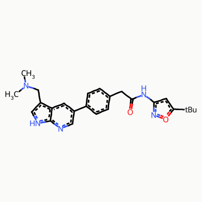 CN(C)Cc1c[nH]c2ncc(-c3ccc(CC(=O)Nc4cc(C(C)(C)C)on4)cc3)cc12